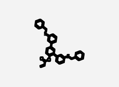 C=CC(=O)Oc1ccc(-c2cccc(SCc3ccccc3)c2)cc1-c1cccc(SCc2ccccc2)c1